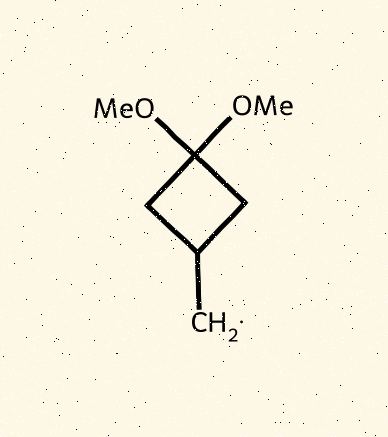 [CH2]C1CC(OC)(OC)C1